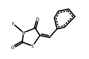 O=C1SC(=Cc2ccccc2)C(=O)N1F